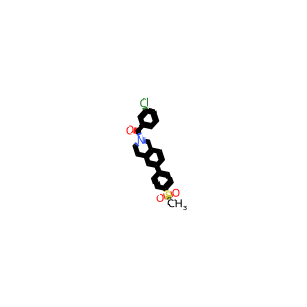 CS(=O)(=O)c1ccc(-c2ccc3c(c2)CCN(C(=O)c2cccc(Cl)c2)C3)cc1